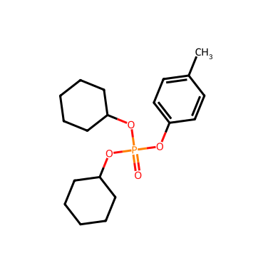 Cc1ccc(OP(=O)(OC2CCCCC2)OC2CCCCC2)cc1